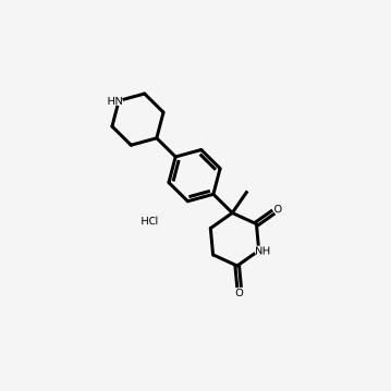 CC1(c2ccc(C3CCNCC3)cc2)CCC(=O)NC1=O.Cl